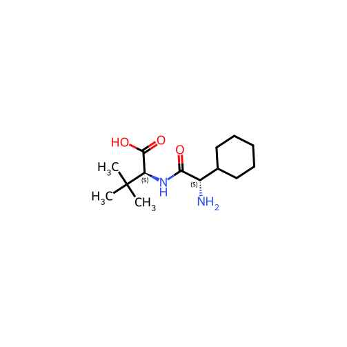 CC(C)(C)[C@H](NC(=O)[C@@H](N)C1CCCCC1)C(=O)O